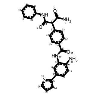 NC(=O)C(C(=O)Nc1ccccc1)c1ccc(C(=O)Nc2cc(-c3cccs3)ccc2N)cc1